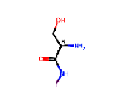 N[C@H](CO)C(=O)NI